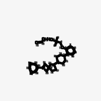 CC(C)(O)COc1ccccc1C1CCN(C2CCC3(C2)CN(c2cncnc2)C3)CC1.O=CO